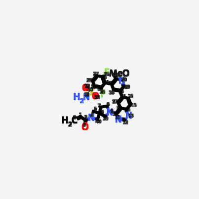 C=CC(=O)N1CC2(CCN(c3ncnc4ccc(-c5cnc(OC)c(-c6c(F)ccc(S(N)(=O)=O)c6F)c5)cc34)C2)C1